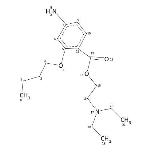 CCCCOc1cc(N)ccc1C(=O)OCCN(CC)CC